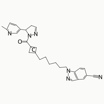 Cc1ccc(C2CC=NN2C(=O)C23CC(CCCCCCn4ncc5cc(C#N)ccc54)(C2)C3)cn1